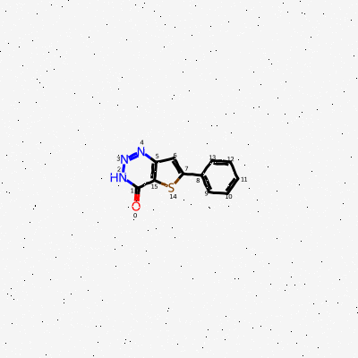 O=c1[nH]nnc2cc(-c3ccccc3)sc12